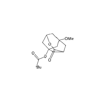 COC12CC3CC(OC(=O)C(C)(C)C)(CC(C1)C(=O)O3)C2